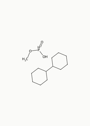 C1CCC(C2CCCCC2)CC1.CO[PH](=O)O